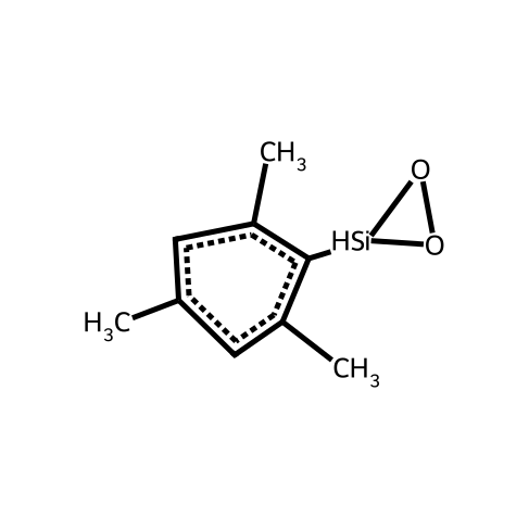 Cc1cc(C)c([SiH]2OO2)c(C)c1